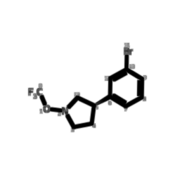 FC(F)(F)ON1CC[C@H](c2cccc(Br)c2)C1